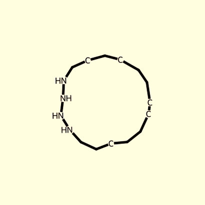 C1CCCCCCNNNNCCCCCC1